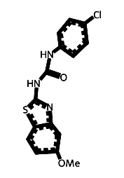 COc1ccc2sc(NC(=O)Nc3ccc(Cl)cc3)nc2c1